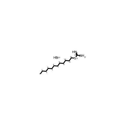 Br.CCCCCCCCCCCCSC(=N)N